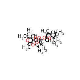 CCC(O[C@H](CC)O[C@@H]1C(CC)O[C@@H](C(C)C)C(C)[C@H]1C)[C@H](O)CO[C@]1(C)C[C@@H](C)[C@@H](C)C([C@H](C)[C@H](C)CC)O1